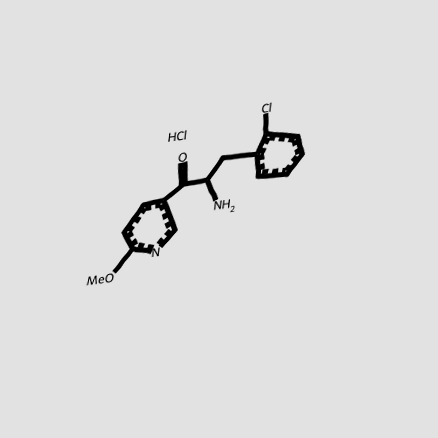 COc1ccc(C(=O)C(N)Cc2ccccc2Cl)cn1.Cl